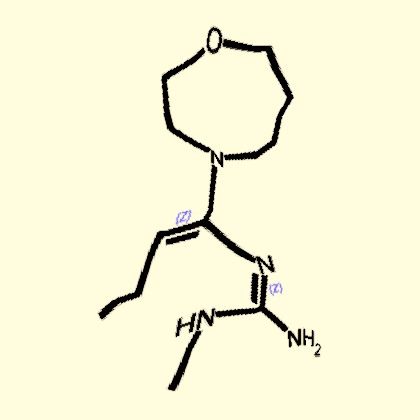 CC/C=C(\N=C(\N)NC)N1CCCOCC1